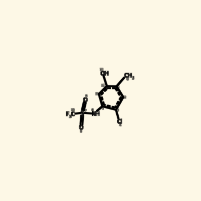 Cc1cc(Cl)c(NS(=O)(=O)C(F)(F)F)cc1O